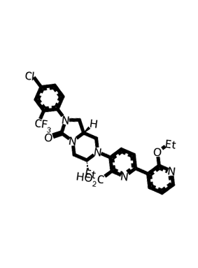 CCOc1ncccc1-c1ccc(N2C[C@H]3CN(c4ccc(Cl)cc4C(F)(F)F)C(=O)N3C[C@H]2CC)c(C(=O)O)n1